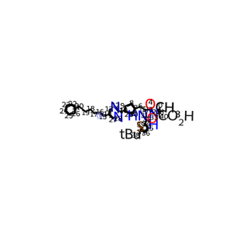 C[C@@H](NC(=O)[C@H](Cc1ccc(-c2ncc(/C=C/CCCCc3ccccc3)cn2)cc1)NC(=O)c1ccc(C(C)(C)C)s1)C(=O)O